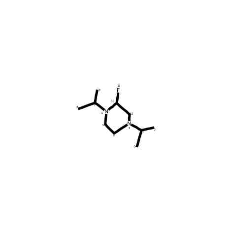 CC(C)N1CCN(C(C)C)C(F)C1